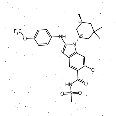 C[C@@H]1C[C@@H](n2c(Nc3ccc(OC(F)(F)F)cc3)nc3cc(C(=O)NS(C)(=O)=O)c(Cl)cc32)CC(C)(C)C1